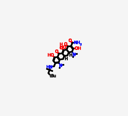 CN(C)c1c(CNC(C)(C)CC(C)(C)C)cc(O)c2c1C[C@H]1C[C@H]3[C@H](N(C)C)C(O)=C(C(N)=O)C(=O)[C@@]3(O)C(O)=C1C2=O